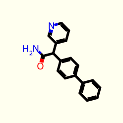 NC(=O)C(c1ccc(-c2ccccc2)cc1)c1cccnc1